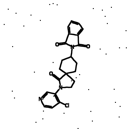 O=C1c2ccccc2C(=O)N1C1CCC2(CC1)CCN(c1cnccc1Cl)C2=O